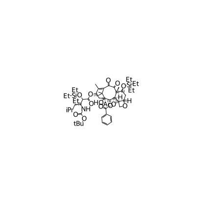 CC[Si](CC)(CC)OC(C(=O)O[C@H]1C[C@@]2(O)[C@@H](OC(=O)c3ccccc3)[C@@H]3[C@]4(OC(C)=O)CO[C@@H]4C[C@H](O[Si](CC)(CC)CC)[C@@]3(C)C(=O)C(=O)C(=C1C)C2(C)C)[C@H](CC(C)C)NC(=O)OC(C)(C)C